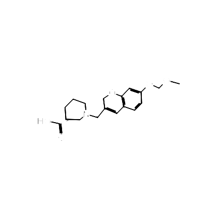 COCOc1ccc2c(c1)OCC(CN1CCC[C@@H](C(=O)O)C1)=C2